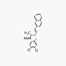 CN[C@@H](C)[C@H](/C=C/c1ccc2ccccc2c1)Cc1ccc(Cl)c(Cl)c1